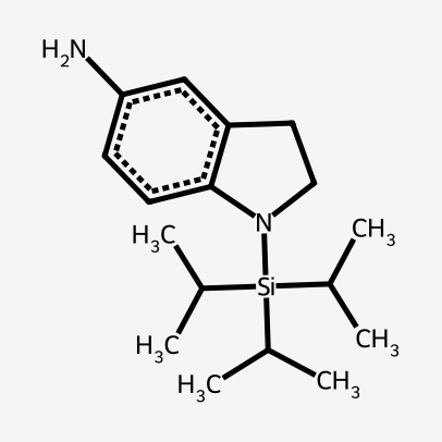 CC(C)[Si](C(C)C)(C(C)C)N1CCc2cc(N)ccc21